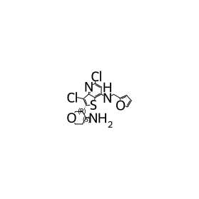 N[C@H]1CCOC[C@@H]1c1sc2c(NCc3ccco3)cc(Cl)nc2c1Cl